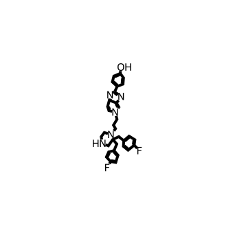 Oc1ccc(-c2nc3ccn(CCCN4CCNCC4(Cc4ccc(F)cc4)Cc4ccc(F)cc4)cc-3n2)cc1